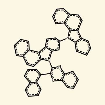 c1ccc2c(-c3nc4ccccc4nc3-n3c4cc(-n5c6ccccc6c6ccc7ccccc7c65)ccc4c4c5ccccc5ccc43)cccc2c1